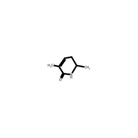 CC1=CCC(C)NC1=O